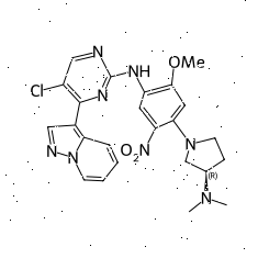 COc1cc(N2CC[C@@H](N(C)C)C2)c([N+](=O)[O-])cc1Nc1ncc(Cl)c(-c2cnn3ccccc23)n1